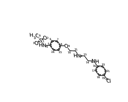 CS(=O)(=O)Nc1ccc(OCCNCCNc2ccc(Cl)cc2)cc1